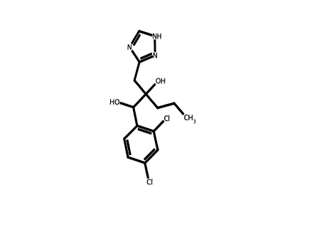 CCCC(O)(Cc1nc[nH]n1)C(O)c1ccc(Cl)cc1Cl